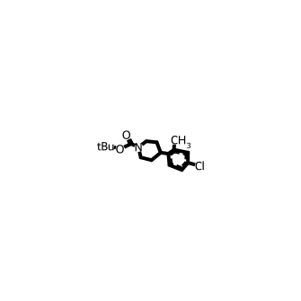 Cc1cc(Cl)ccc1C1CCN(C(=O)OC(C)(C)C)CC1